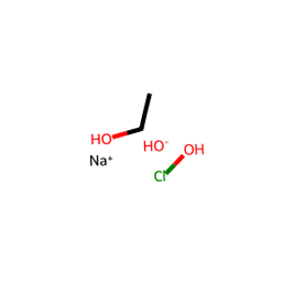 CCO.OCl.[Na+].[OH-]